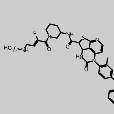 Cc1cc(Oc2ccccc2)ccc1N1C(=O)NC2c3c1ccnc3SC2C(=O)NC1CCCN(C(=O)C(F)=CCNC(=O)O)C1